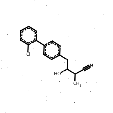 CC(C#N)C(O)Cc1ccc(-c2ccccc2Cl)cc1